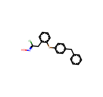 O/N=C(\Cl)Cc1ccccc1Sc1ccc(Cc2ccccc2)cc1